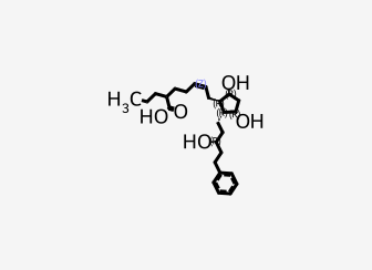 CCCC(CC/C=C\C[C@@H]1[C@@H](CC[C@@H](O)CCc2ccccc2)[C@H](O)C[C@H]1O)C(=O)O